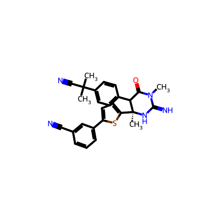 CN1C(=N)N[C@@](C)(c2ccc(-c3cccc(C#N)c3)s2)C(c2ccc(C(C)(C)C#N)cc2)C1=O